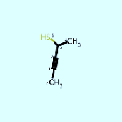 CC#CC(C)S